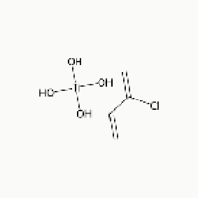 C=CC(=C)Cl.[OH][Ti]([OH])([OH])[OH]